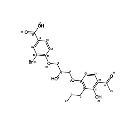 CCCc1c(OCC(O)COc2ccc(C(=O)O)cc2Br)ccc(C(C)=O)c1O